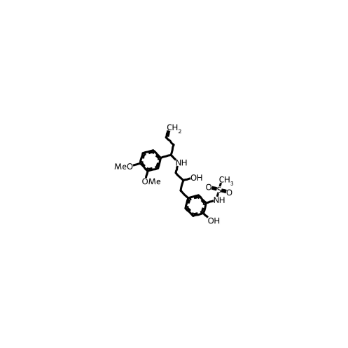 C=CCC(NCC(O)Cc1ccc(O)c(NS(C)(=O)=O)c1)c1ccc(OC)c(OC)c1